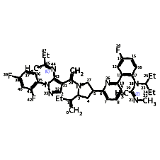 C=C(CC)C1CC(c2cccc(-c3cc(F)ccc3N(/C(C)=N\C)C(CC)CC)n2)CN1C(=C)c1cnn(-c2ccc(F)cc2F)c1/N=C(\C)CC